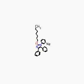 CCCCCCCOc1nc(-c2ccccc2)c(-c2ccccc2)n1-c1ccccc1.[Na]